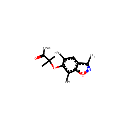 CCCc1cc2c(C(F)(F)F)noc2c(CCC)c1OC(C)(C)C(=O)OC